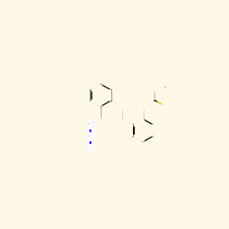 COC(=S)Oc1cccc(C(F)(F)F)c1COc1ccc(F)cc1CN=[N+]=[N-]